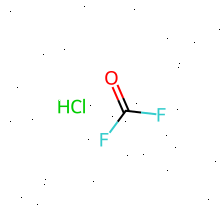 Cl.O=C(F)F